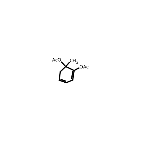 CC(=O)OC1=CC=CCC1(C)OC(C)=O